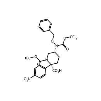 CC(C)(C)OC(=O)N1C[C@H](N(OCc2ccccc2)C(=O)OC(Cl)(Cl)Cl)CC[C@@]1(C(=O)O)c1ccc([N+](=O)[O-])cc1